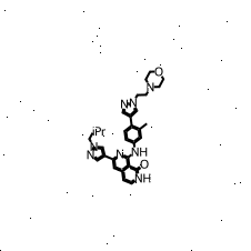 Cc1cc(Nc2nc(-c3cnn(CC(C)C)c3)cc3cc[nH]c(=O)c23)ccc1-c1cnn(CCN2CCOCC2)c1